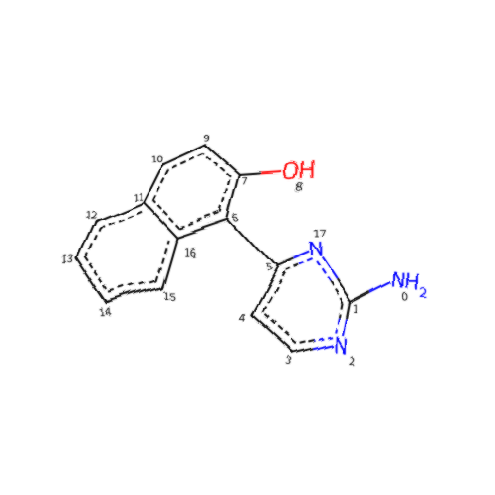 Nc1nccc(-c2c(O)ccc3ccccc23)n1